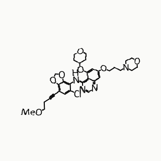 COCCC#Cc1cc(Cl)c(Nc2ncnc3cc(OCCCN4CCOCC4)cc(OC4CCOCC4)c23)c2c1OCO2